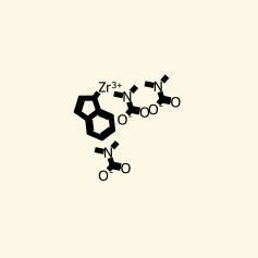 CN(C)C(=O)[O-].CN(C)C(=O)[O-].CN(C)C(=O)[O-].[Zr+3][CH]1C=Cc2ccccc21